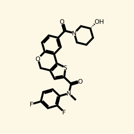 CN(C(=O)c1cc2c(s1)-c1cc(C(=O)N3CCC[C@@H](O)C3)ccc1OC2)c1ccc(F)cc1F